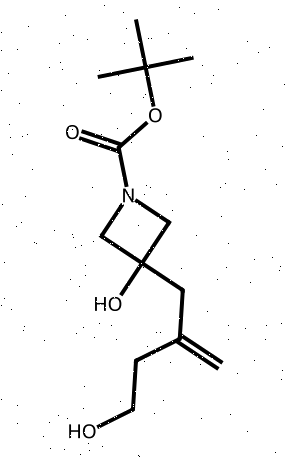 C=C(CCO)CC1(O)CN(C(=O)OC(C)(C)C)C1